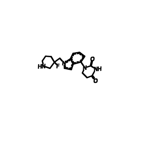 O=C1CCN(c2cccc3c2ccn3CC2(F)CCCNC2)C(=O)N1